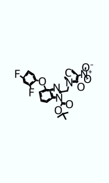 CC(C)(C)OC(=O)n1c(Cn2cccc([N+](=O)[O-])c2=O)nc2c(Oc3ccc(F)cc3F)cccc21